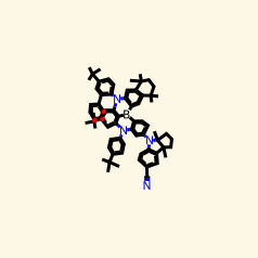 CC(C)(C)c1ccc(N2c3cc(N4c5ccc(C#N)cc5C5(C)CCCC45C)ccc3B3c4cc5c(cc4N(c4ccc(C(C)(C)C)cc4-c4ccccc4)c4cc(C(C)(C)C)cc2c43)C(C)(C)CCC5(C)C)cc1